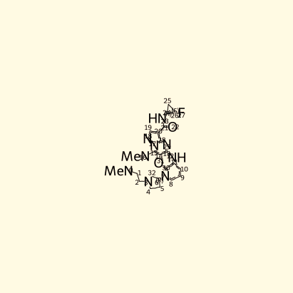 CNCCN1CC[C@@H](n2cccc(Nc3cc(NC)n4ncc(C(=O)N[C@@H]5C[C@@H]5F)c4n3)c2=O)C1